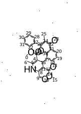 COC(=O)C1=C(C)NC(C=O)=C(C(=O)OC)C1c1cccc2c(=O)c(C)c(-c3ccccc3)oc12